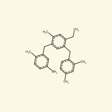 Bc1ccc(C)c(Cc2cc(Cc3ccc(C)cc3C)c(CC)cc2C)c1